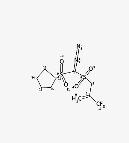 C=C(CS(=O)(=O)C(=[N+]=[N-])S(=O)(=O)C1CCCC1)C(F)(F)F